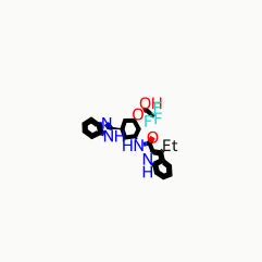 CCc1c(C(=O)N[C@@H]2CCC[C@H](c3nc4ccccc4[nH]3)C2)[nH]c2ccccc12.O=C(O)C(F)(F)F